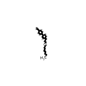 CCC/C=C/CCCOCCCC1CCC(c2ccc(C#N)cc2)CC1